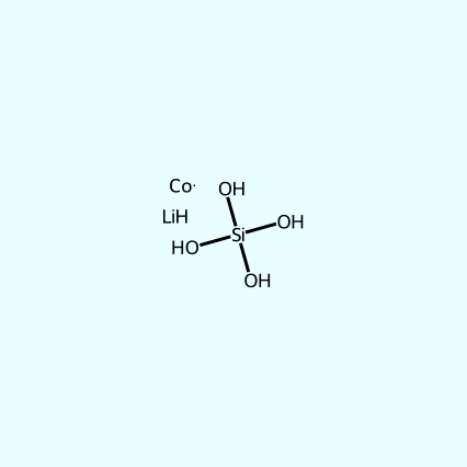 O[Si](O)(O)O.[Co].[LiH]